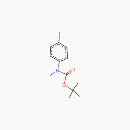 CN(C(=O)OC(C)(C)C)c1ccc(I)cc1